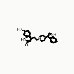 Cc1ccc2c(CCN3CCC(c4c[nH]c5ccccc45)CC3)cc(=O)[nH]c2c1